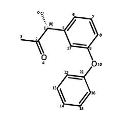 [CH2][C@@H](C(C)=O)c1cccc(Oc2ccccc2)c1